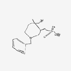 COS(=O)(=O)CC1CN(Cc2ccccc2)CCC1(C)O